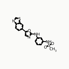 CS(=O)(=O)Nc1cccc(Nc2ncc(-c3ccc4ncsc4c3)o2)c1